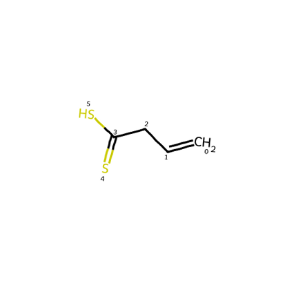 C=CCC(=S)S